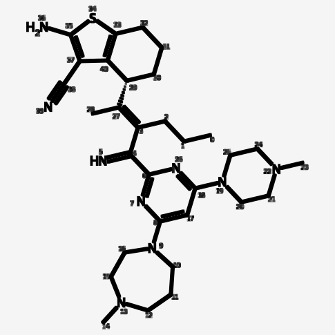 CCC/C(C(=N)c1nc(N2CCCN(C)CC2)cc(N2CCN(C)CC2)n1)=C(/C)[C@H]1CCCc2sc(N)c(C#N)c21